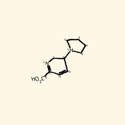 O=C(O)C1=NCC(N2CCCC2)C=C1